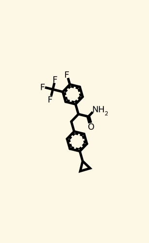 NC(=O)C(Cc1ccc(C2CC2)cc1)c1ccc(F)c(C(F)(F)F)c1